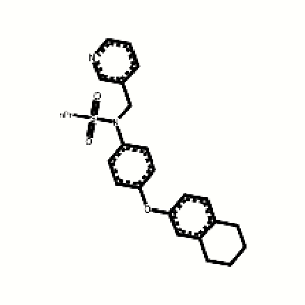 CCCS(=O)(=O)N(Cc1cccnc1)c1ccc(Oc2ccc3c(c2)CCCC3)cc1